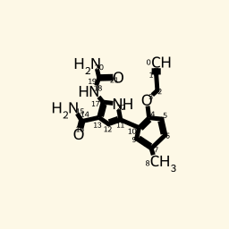 C#CCOc1ccc(C)cc1-c1cc(C(N)=O)c(NC(N)=O)[nH]1